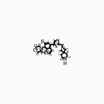 Fc1cc(-c2cnc(CN3CC4(CCNCC4)C3)s2)c2cc[nH]c2c1N1CCOCC1